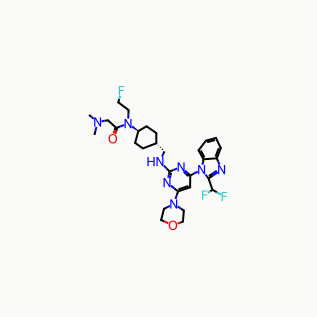 CN(C)CC(=O)N(CCF)[C@H]1CC[C@H](CNc2nc(N3CCOCC3)cc(-n3c(C(F)F)nc4ccccc43)n2)CC1